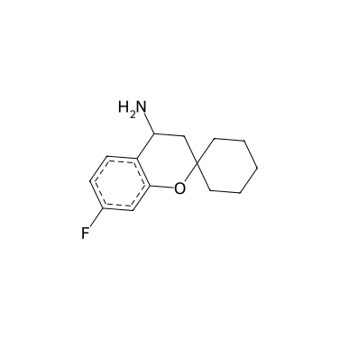 NC1CC2(CCCCC2)Oc2cc(F)ccc21